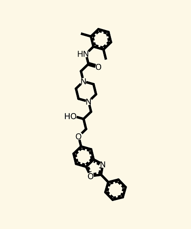 Cc1cccc(C)c1NC(=O)CN1CCN(CC(O)COc2ccc3oc(-c4ccccc4)nc3c2)CC1